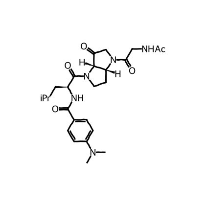 CC(=O)NCC(=O)N1CC(=O)[C@@H]2[C@H]1CCN2C(=O)[C@H](CC(C)C)NC(=O)c1ccc(N(C)C)cc1